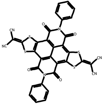 N#CC(C#N)=c1sc2c(s1)c1c(=O)n(-c3ccccc3)c(=O)c3c4sc(=C(C#N)C#N)sc4c4c(=O)n(-c5ccccc5)c(=O)c2c4c13